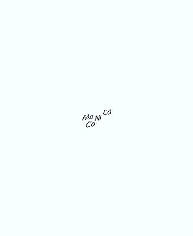 [Cd].[Co].[Mo].[Ni]